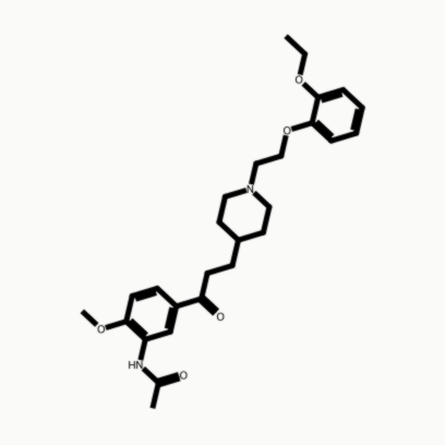 CCOc1ccccc1OCCN1CCC(CCC(=O)c2ccc(OC)c(NC(C)=O)c2)CC1